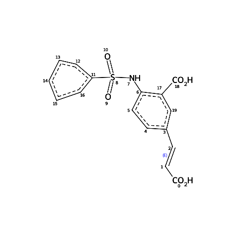 O=C(O)/C=C/c1ccc(NS(=O)(=O)c2ccccc2)c(C(=O)O)c1